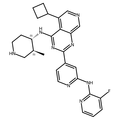 C[C@H]1CNCC[C@@H]1Nc1nc(-c2ccnc(Nc3ncccc3F)c2)nc2cncc(C3CCC3)c12